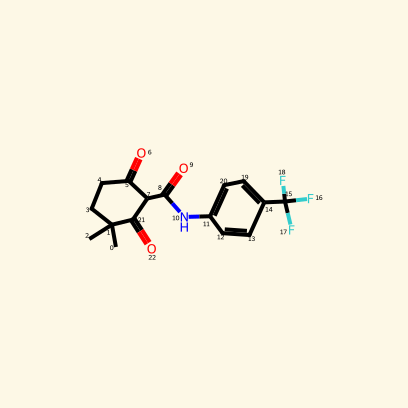 CC1(C)CCC(=O)C(C(=O)Nc2ccc(C(F)(F)F)cc2)C1=O